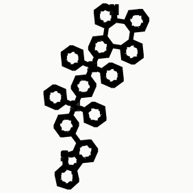 c1ccc([Si](c2ccccc2)(c2ccc([Si](c3ccccc3)(c3ccccc3)c3ccc4c(c3)-c3ccccc3-c3ccccc3-c3ncccc3-4)cc2)c2cccc(-c3cccc4c3sc3ccccc34)c2)cc1